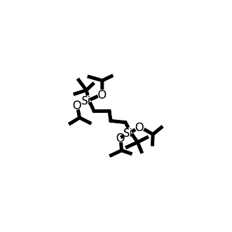 CC(C)O[Si](CCCC[Si](OC(C)C)(OC(C)C)C(C)(C)C)(OC(C)C)C(C)(C)C